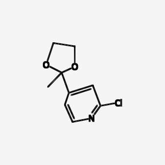 CC1(c2ccnc(Cl)c2)OCCO1